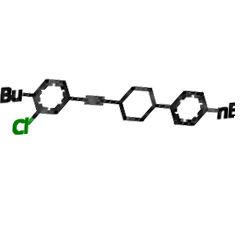 CCCCc1ccc(C2CCC(C#Cc3ccc(CCCC)c(Cl)c3)CC2)cc1